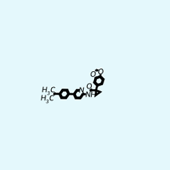 CC(C)c1ccc(-c2ccc(NC(=O)C3(c4ccc5c(c4)OCO5)CC3)nc2)cc1